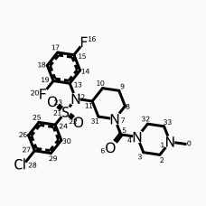 CN1CCN(C(=O)N2CCCC(N(c3cc(F)ccc3F)S(=O)(=O)c3ccc(Cl)cc3)C2)CC1